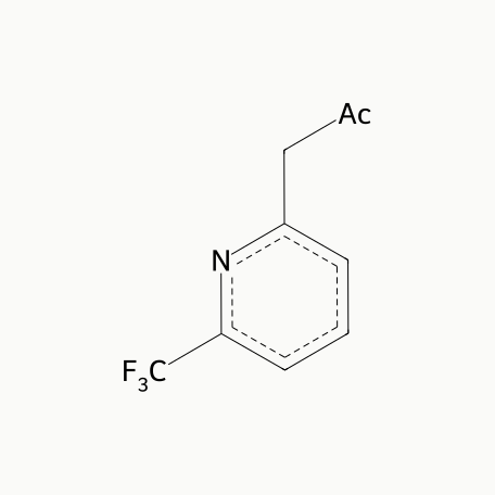 CC(=O)Cc1cccc(C(F)(F)F)n1